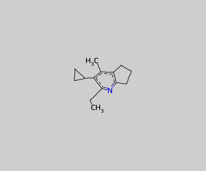 CCc1nc2c(c(C)c1C1CC1)CCC2